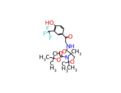 CC(C)(C)OC(=O)N1C(C)(C)OC[C@]1(C)C(=O)NCC(=O)c1ccc(O)c(C(F)(F)F)c1